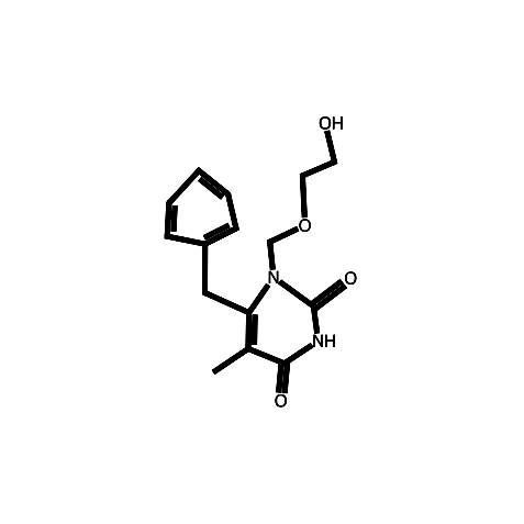 Cc1c(Cc2ccccc2)n(COCCO)c(=O)[nH]c1=O